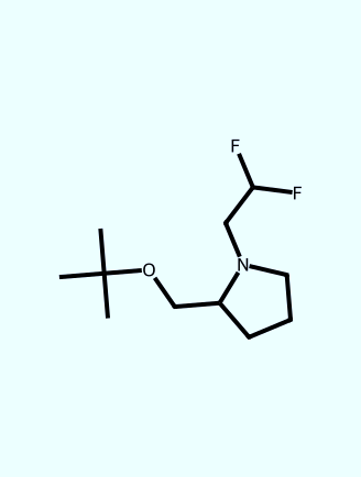 CC(C)(C)OCC1CCCN1CC(F)F